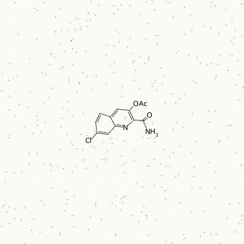 CC(=O)Oc1cc2ccc(Cl)cc2nc1C(N)=O